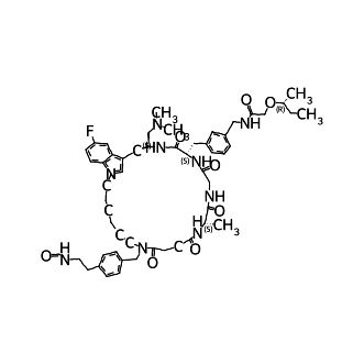 CC[C@@H](C)OCC(=O)NCc1cccc(C[C@@H]2NC(=O)CNC(=O)[C@H](C)NC(=O)CCC(=O)N(Cc3ccc(CCNC=O)cc3)CCCCCCn3cc(c4cc(F)ccc43)C[C@@H](CN(C)C)NC2=O)c1